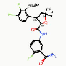 COc1c([C@H]2C[C@@](C)(C(F)(F)F)O[C@H]2C(=O)Nc2ccc(F)c(C(N)=O)c2)ccc(F)c1F